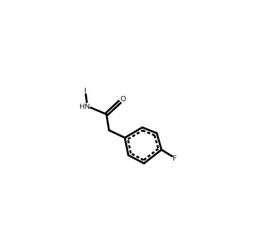 O=C(Cc1ccc(F)cc1)NI